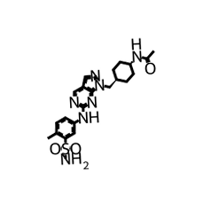 CC(=O)N[C@H]1CC[C@@H](Cn2ncc3cnc(Nc4ccc(C)c(S(N)(=O)=O)c4)nc32)CC1